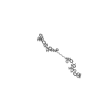 Cc1ccc(NC(=O)C2(c3ccc4c(c3)OC(F)(F)O4)CC2)nc1-c1cccc(C(=O)NCCCCCCCC(=O)NCc2ccc(Nc3nc4ccc(NS(=O)(=O)c5cccs5)cc4s3)nc2)c1